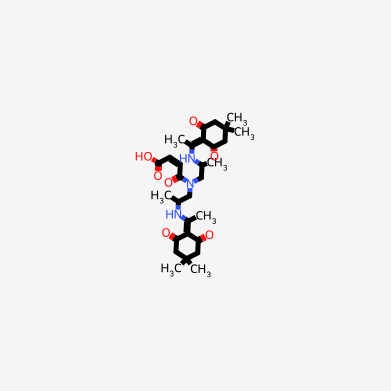 CC(NC(C)CN(CC(C)NC(C)=C1C(=O)CC(C)(C)CC1=O)C(=O)C=CC(=O)O)=C1C(=O)CC(C)(C)CC1=O